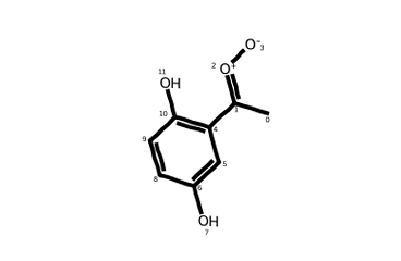 CC(=[O+][O-])c1cc(O)ccc1O